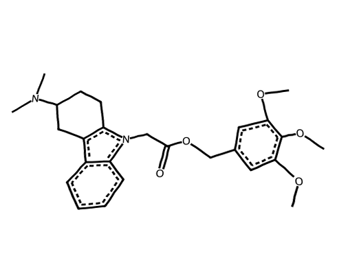 COc1cc(COC(=O)Cn2c3c(c4ccccc42)CC(N(C)C)CC3)cc(OC)c1OC